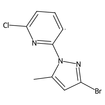 Cc1cc(Br)nn1-c1[c]ccc(Cl)n1